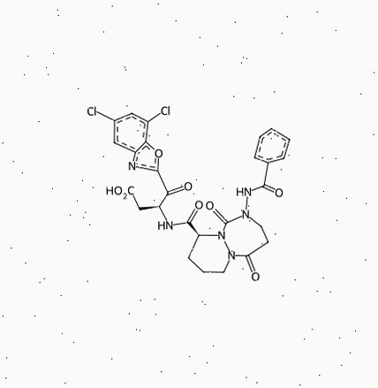 O=C(O)C[C@H](NC(=O)[C@@H]1CCCN2C(=O)CCN(NC(=O)c3ccccc3)C(=O)N12)C(=O)c1nc2cc(Cl)cc(Cl)c2o1